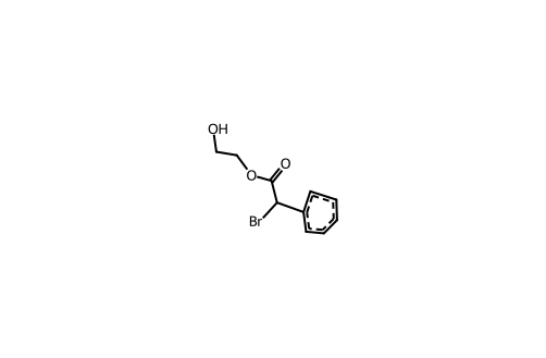 O=C(OCCO)C(Br)c1ccccc1